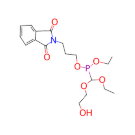 CCOC(OCCO)P(OCC)OCCCN1C(=O)c2ccccc2C1=O